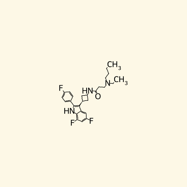 CCCCN(CC)CCC(=O)N[C@H]1C[C@@H](c2c(-c3ccc(F)cc3)[nH]c3c(F)cc(F)cc32)C1